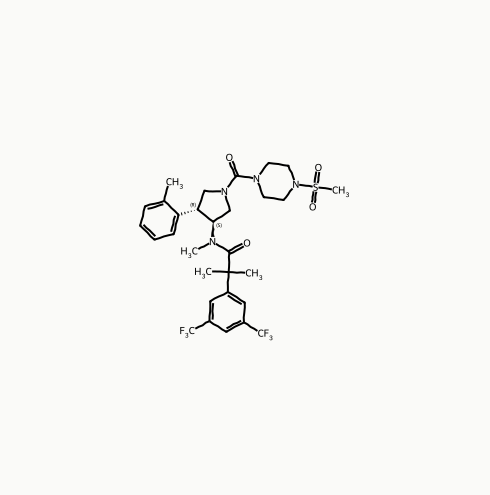 Cc1ccccc1[C@@H]1CN(C(=O)N2CCN(S(C)(=O)=O)CC2)C[C@H]1N(C)C(=O)C(C)(C)c1cc(C(F)(F)F)cc(C(F)(F)F)c1